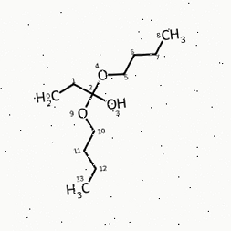 [CH2]CC(O)(OCCCC)OCCCC